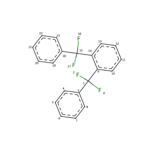 FC(F)(c1ccccc1)c1[c]cccc1C(F)(F)c1ccccc1